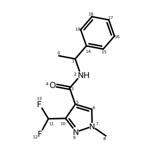 CC(NC(=O)c1cn(C)nc1C(F)F)c1ccccc1